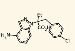 CCC(Cc1ccc(Cl)cc1)(C(=O)O)n1ncc2c(N)cccc21